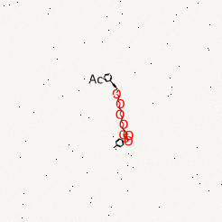 CC(=O)c1cccc(C#CCOCCOCCOCCOCCOS(=O)(=O)c2ccc(C)cc2)c1